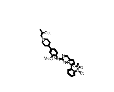 CCN(c1ccccc1-c1ccc2cnc(Nc3ccc(C4CCN(CC(C)O)CC4)cc3OC)nn12)S(C)(=O)=O